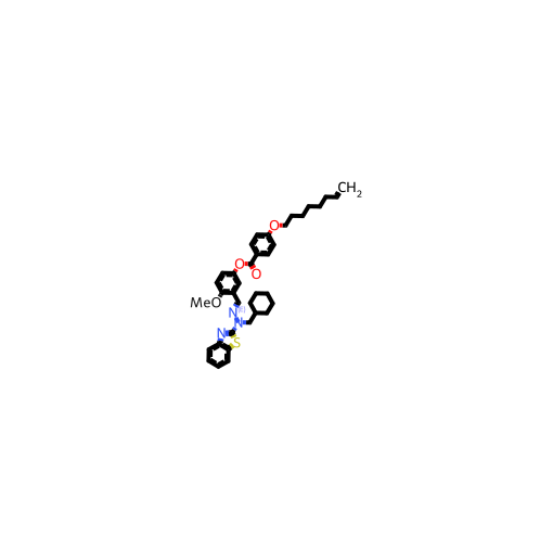 C=CCCCCCCOc1ccc(C(=O)Oc2ccc(OC)c(/C=N/N(CC3CCCCC3)c3nc4ccccc4s3)c2)cc1